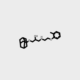 Cc1ccccc1OCCNCC(O)COC12CC3CC(CC(C3)C1)C2